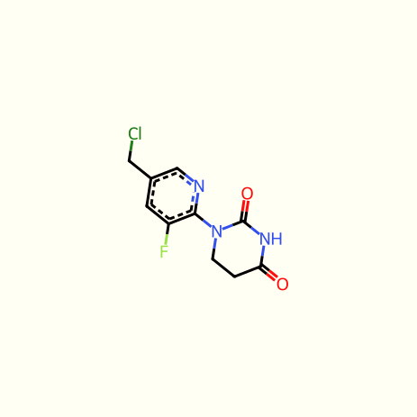 O=C1CCN(c2ncc(CCl)cc2F)C(=O)N1